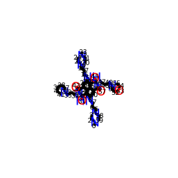 CN1CCN(CCCNc2cc3c4c(c(NCCCN5CCN(C)CC5)cc5c4c2C(=O)N(CCCN2CCCCC2)C5=O)C(=O)N(CCCN2CCOCC2)C3=O)CC1